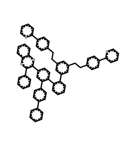 c1ccc(-c2ccc(-c3cc(-c4nc5ccccc5nc4-c4ccccc4)ccc3-c3ccccc3-c3cc(CCc4ccc(-c5ccccn5)cc4)cc(CCc4ccc(-c5ccccn5)cc4)c3)cc2)cc1